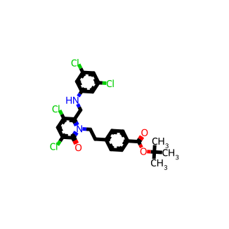 CC(C)(C)OC(=O)c1ccc(CCn2c(CNc3cc(Cl)cc(Cl)c3)c(Cl)cc(Cl)c2=O)cc1